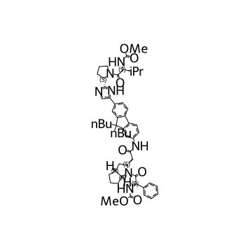 CCCCC1(CCCC)c2cc(NC(=O)C[C@@H]3C[C@H]4CCC[C@H]4N3C(=O)[C@H](NC(=O)OC)c3ccccc3)ccc2-c2ccc(-c3cnc([C@@H]4CCCN4C(=O)[C@@H](NC(=O)OC)C(C)C)[nH]3)cc21